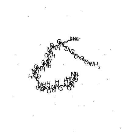 Cn1cc(NC(=O)c2nc(NC(=O)CCNC(=O)c3cc(NC(=O)c4nccn4C)cn3C)cn2C)cc1C(=O)NCCCC(=O)Nc1cn(C)c(C(=O)NCCC(=O)Nc2cc(C(=O)Nc3cn(C)c(C(=O)NCCC(=O)N(CCCCN=[N+]=[N-])CCOCCOCCOCCOCCOCCN)n3)n(C)c2)n1